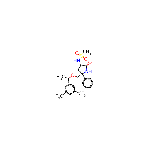 C[C@@H](OC[C@@]1(c2ccccc2)C[C@H](NS(C)(=O)=O)C(=O)N1)c1cc(C(F)(F)F)cc(C(F)(F)F)c1